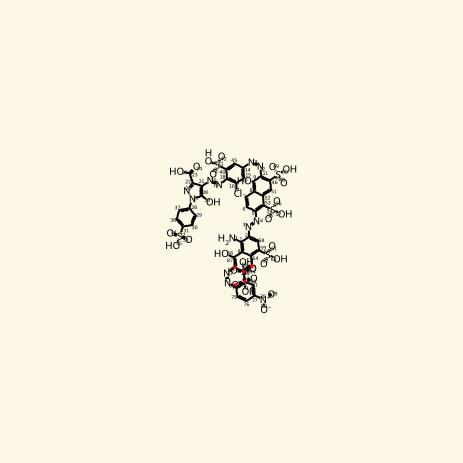 Nc1c(N=Nc2ccc3c(O)c(/N=N\c4cc(Cl)c(/N=N/c5c(C(=O)O)nn(-c6ccc(S(=O)(=O)O)cc6)c5O)c(S(=O)(=O)O)c4)c(S(=O)(=O)O)cc3c2S(=O)(=O)O)cc(S(=O)(=O)O)c2cc(S(=O)(=O)O)c(/N=N\c3ccc([N+](=O)[O-])cc3S(=O)(=O)O)c(O)c12